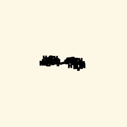 Cc1ncsc1-c1ccc([C@H](C)NC(=O)[C@@H]2CCCN2C(=O)[C@@H](NC(=O)COCCCCCC#Cc2ccc(C(=O)N[C@H]3C(C)(C)[C@H](Oc4ccc(C#N)c(Cl)c4)C3(C)C)cc2)C(C)(C)C)cc1